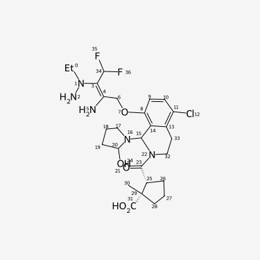 CCN(N)/C(=C(\N)COc1ccc(Cl)c2c1C(N1CCCC1O)N(C(=O)[C@@H]1CCC[C@]1(C)C(=O)O)CC2)C(F)F